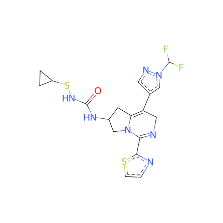 O=C(NSC1CC1)NC1CC2=C(c3cnn(C(F)F)c3)CN=C(c3nccs3)N2C1